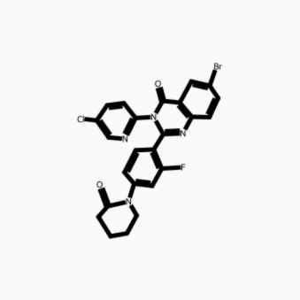 O=C1CCCCN1c1ccc(-c2nc3ccc(Br)cc3c(=O)n2-c2ccc(Cl)cn2)c(F)c1